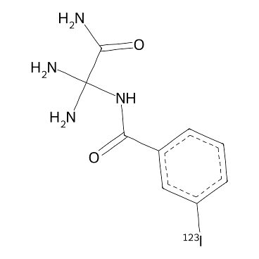 NC(=O)C(N)(N)NC(=O)c1cccc([123I])c1